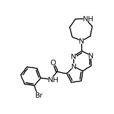 O=C(Nc1ccccc1Br)c1ccc2cnc(N3CCCNCC3)nn12